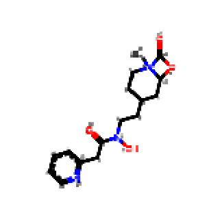 CC(C)(C)[N+]12CCC(CCN(O)C(=O)Cc3ccccn3)CC1OC2=O